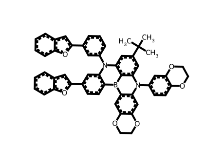 CC(C)(C)c1cc2c3c(c1)N(c1ccc4c(c1)OCCO4)c1cc4c(cc1B3c1ccc(-c3cc5ccccc5o3)cc1N2c1cccc(-c2cc3ccccc3o2)c1)OCCO4